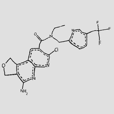 CCN(Cc1ccc(C(F)(F)F)cn1)C(=O)c1cc2c3c(c(N)nc2nc1Cl)COC3